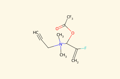 C#CC[N+](C)(C)C(OC(=O)C(F)(F)F)C(=C)F